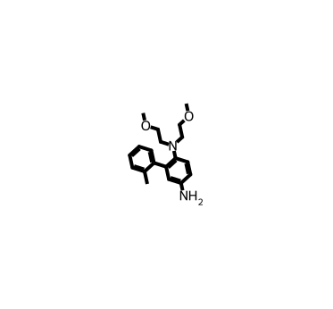 COCCN(CCOC)c1ccc(N)cc1-c1ccccc1C